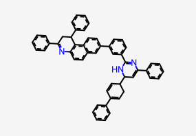 C1=CC(C2C=C(c3ccccc3)N=C(c3cccc(-c4ccc5c6c(ccc5c4)N=C(c4ccccc4)CC6c4ccccc4)c3)N2)CC=C1c1ccccc1